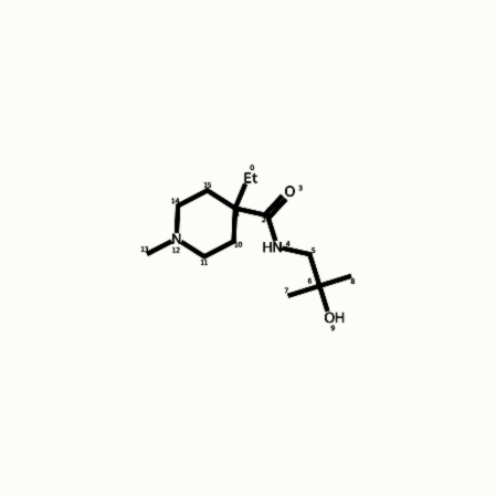 CCC1(C(=O)NCC(C)(C)O)CCN(C)CC1